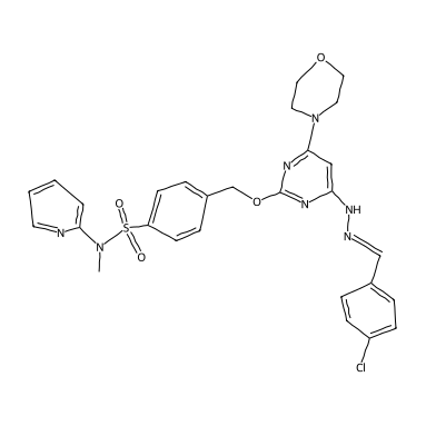 CN(c1ccccn1)S(=O)(=O)c1ccc(COc2nc(N/N=C/c3ccc(Cl)cc3)cc(N3CCOCC3)n2)cc1